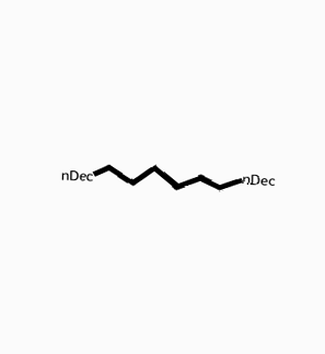 [CH2]CC[CH]CCCCCCCCCCCCCCCCCCCCCC